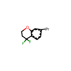 CC(C)c1ccc2c(c1)OCCC2(F)F